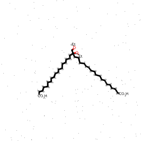 CCOCC(CCCCCCCCCCCCCCCCCC(=O)O)(CCCCCCCCCCCCCCCCCC(=O)O)OCC